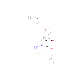 CCSC1=C(C(=O)OCc2ccccc2)N2C(=O)[C@H](C(C)OC(=O)OCc3ccc([N+](=O)[O-])cc3)[C@H]2[S+]([O-])C1=[N+]=[N-]